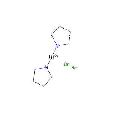 C1CC[N]([Hf+2][N]2CCCC2)C1.[Br-].[Br-]